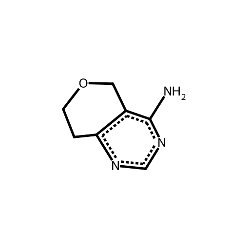 Nc1ncnc2c1COCC2